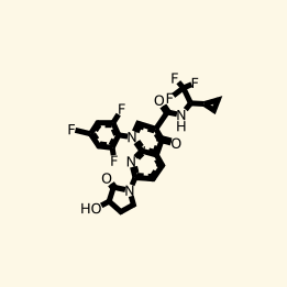 O=C(NC(C1CC1)C(F)(F)F)c1cn(-c2c(F)cc(F)cc2F)c2nc(N3CCC(O)C3=O)ccc2c1=O